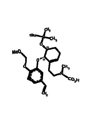 C=Cc1ccc(OCOC)c(O[C@H]2C(CCN(C)C(=O)O)=CCC[C@@H]2O[Si](C)(C)C(C)(C)C)c1